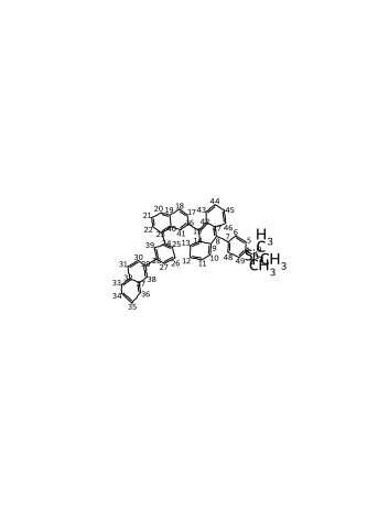 C[Si](C)(C)c1ccc(-c2c3ccccc3c(-c3ccc4cccc(-c5cccc(-c6ccc7ccccc7c6)c5)c4c3)c3ccccc23)cc1